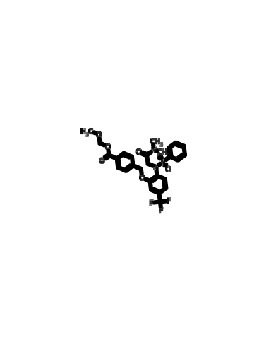 COCOC(=O)c1ccc(COc2cc(C(F)(F)F)ccc2N(CC(=O)N(C)C)S(=O)(=O)c2ccccc2)cc1